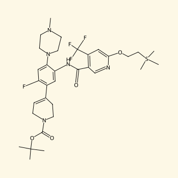 CN1CCN(c2cc(F)c(C3=CCN(C(=O)OC(C)(C)C)CC3)cc2NC(=O)c2cnc(OCCS(C)(C)C)cc2C(F)(F)F)CC1